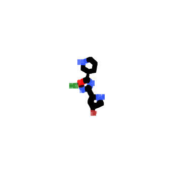 Brc1c[nH]c(-c2noc([C@H]3CCCNC3)n2)c1.Cl